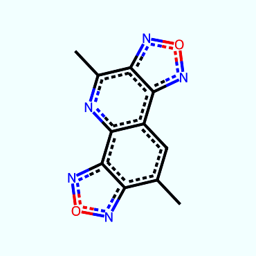 Cc1nc2c(cc(C)c3nonc32)c2nonc12